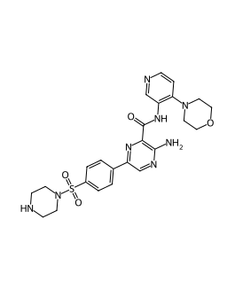 Nc1ncc(-c2ccc(S(=O)(=O)N3CCNCC3)cc2)nc1C(=O)Nc1cnccc1N1CCOCC1